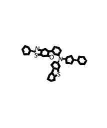 c1ccc(-c2ccc(N(c3ccc4c(c3)sc3ccccc34)c3cccc4c3oc3cc5sc(-c6ccccc6)nc5cc34)cc2)cc1